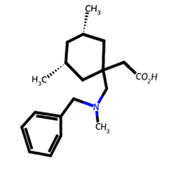 C[C@@H]1C[C@H](C)CC(CC(=O)O)(CN(C)Cc2ccccc2)C1